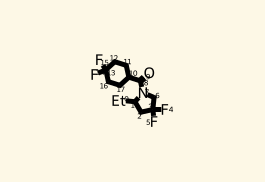 CCC1CC(F)(F)CN1C(=O)C1CCC(F)(F)CC1